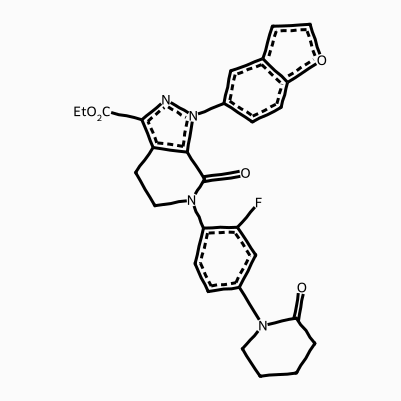 CCOC(=O)c1nn(-c2ccc3occc3c2)c2c1CCN(c1ccc(N3CCCCC3=O)cc1F)C2=O